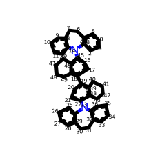 c1ccc2c(c1)CCc1ccccc1N2c1ccc(-c2ccc(N3c4ccccc4CCc4ccccc43)c3c2CCCC3)c2c1CCCC2